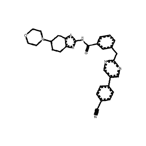 N#Cc1ccc(-c2cnc(Cc3cccc(C(=O)Nc4nc5c(s4)CC(N4CCOCC4)CC5)c3)nc2)cc1